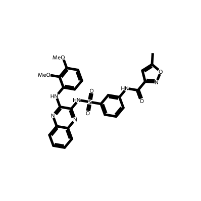 COc1cccc(Nc2nc3ccccc3nc2NS(=O)(=O)c2cccc(NC(=O)c3cc(C)on3)c2)c1OC